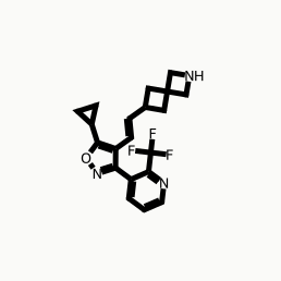 FC(F)(F)c1ncccc1-c1noc(C2CC2)c1C=CC1CC2(CNC2)C1